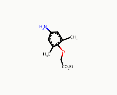 CCOC(=O)COc1c(C)cc(N)cc1C